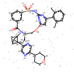 Cc1cccc(C)c1-c1cc2nc(n1)NS(=O)(=O)c1cccc(c1)C(=O)N(C13CC(C1)C3c1cnc(C3CCOCC3)cn1)[C@H](CC(C)(C)C)CO2